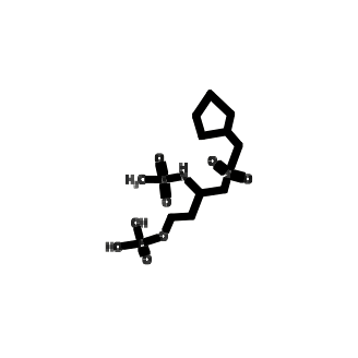 CS(=O)(=O)NC(CCOP(=O)(O)O)CS(=O)(=O)CC1CCCC1